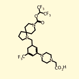 O=C(O)CN1CCN(C2=CC(CN3CCCC34CCN(C(=O)OC(C(F)(F)F)C(F)(F)F)CC4)CC(C(F)(F)F)=C2)CC1